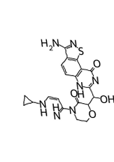 N=C(/C=C\NC1CC1)N1CCOC(C(O)c2nc(=O)c3c(ccc4c(N)nsc43)[nH]2)C1=O